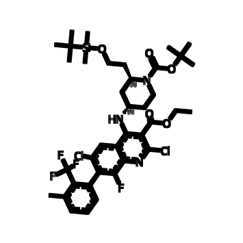 CCOC(=O)c1c(Cl)nc2c(F)c(-c3cccc(C)c3C(F)(F)F)c(Cl)cc2c1N[C@H]1CCN(C(=O)OC(C)(C)C)[C@H](CCO[Si](C)(C)C(C)(C)C)C1